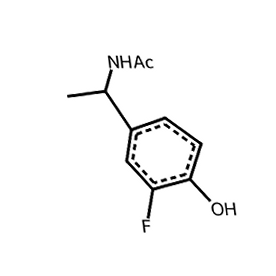 CC(=O)NC(C)c1ccc(O)c(F)c1